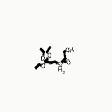 CCOC(CC[SiH2]C1OC1CO)(OCC)OCC